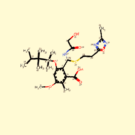 COc1cc(O[Si](C)(C)C(C)(C)C(C)C)c([C@H](NC(=O)CO)SCCc2nc(C)no2)c(C(=O)O)c1C